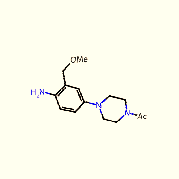 COCc1cc(N2CCN(C(C)=O)CC2)ccc1N